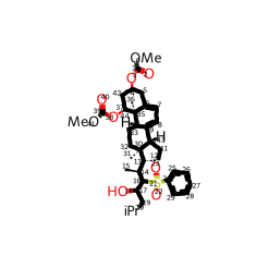 COC(=O)O[C@H]1CC2=CC=C3[C@@H]4CC[C@H]([C@H](C)C(C(O)CC(C)C)S(=O)(=O)c5ccccc5)[C@@]4(C)CC[C@@H]3[C@@]2(C)[C@@H](OC(=O)OC)C1